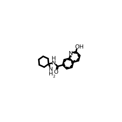 NC1(NC(=O)c2ccc3ccc(O)nc3c2)CCCCC1